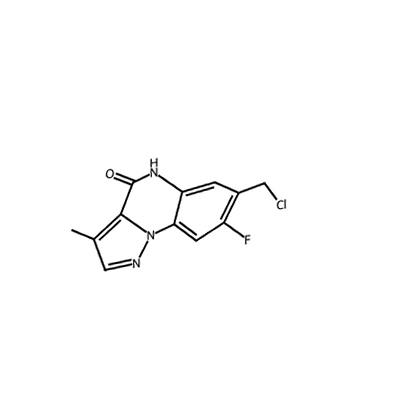 Cc1cnn2c1c(=O)[nH]c1cc(CCl)c(F)cc12